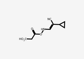 N#CC(=CNOC(=O)CC(=O)O)C1CC1